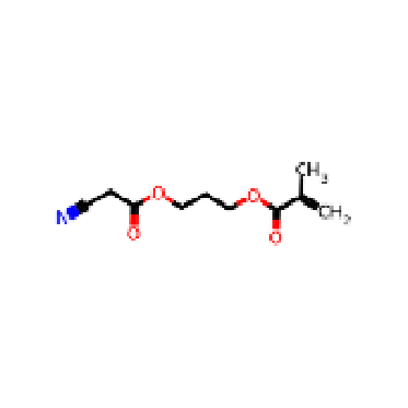 C=C(C)C(=O)OCCCOC(=O)CC#N